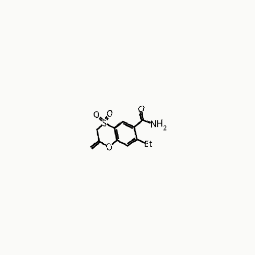 C=C1CS(=O)(=O)c2cc(C(N)=O)c(CC)cc2O1